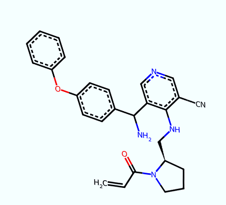 C=CC(=O)N1CCC[C@@H]1CNc1c(C#N)cncc1C(N)c1ccc(Oc2ccccc2)cc1